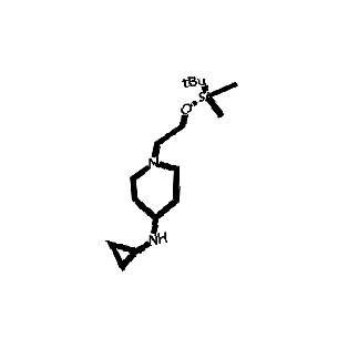 CC(C)(C)[Si](C)(C)OCCN1CCC(NC2CC2)CC1